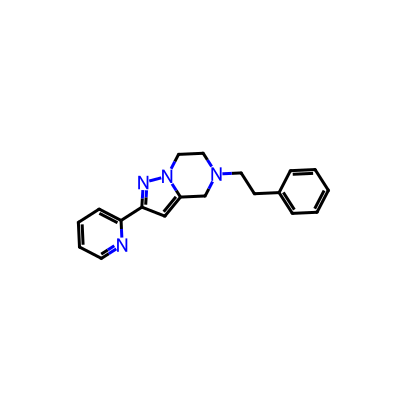 c1ccc(CCN2CCn3nc(-c4ccccn4)cc3C2)cc1